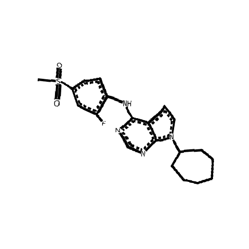 CS(=O)(=O)c1ccc(Nc2ncnc3c2ccn3C2CCCCCC2)c(F)c1